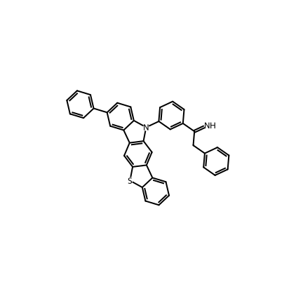 N=C(Cc1ccccc1)c1cccc(-n2c3ccc(-c4ccccc4)cc3c3cc4sc5ccccc5c4cc32)c1